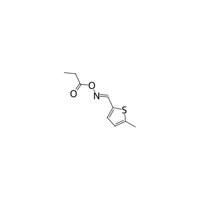 CCC(=O)O/N=C/c1ccc(C)s1